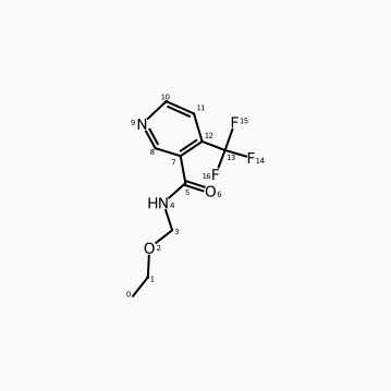 CCOCNC(=O)c1cnccc1C(F)(F)F